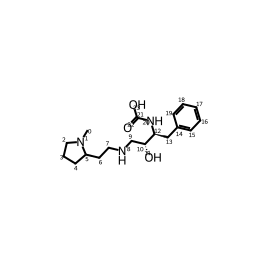 CN1CCCC1CCNC[C@@H](O)[C@H](Cc1ccccc1)NC(=O)O